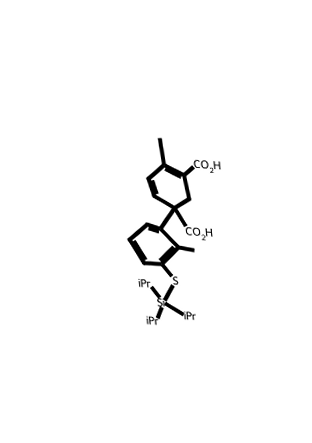 CC1=C(C(=O)O)CC(C(=O)O)(c2cccc(S[Si](C(C)C)(C(C)C)C(C)C)c2C)C=C1